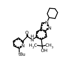 CC(C)(C)c1cccc(C(=O)Nc2cc3cn(C4CCCCC4)nc3cc2C(C)(C)O)n1